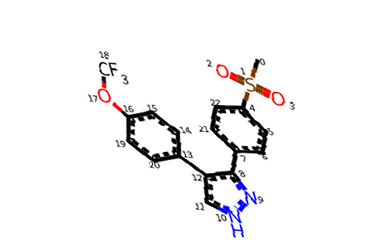 CS(=O)(=O)c1ccc(-c2n[nH]cc2-c2ccc(OC(F)(F)F)cc2)cc1